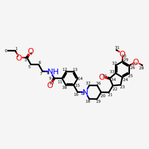 CCOC(=O)CCCNC(=O)c1cccc(CN2CCC(CC3Cc4cc(OC)c(OC)cc4C3=O)CC2)c1